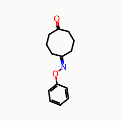 O=C1CCCC(=NOc2ccccc2)CCC1